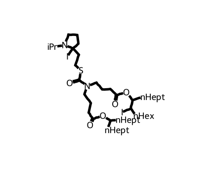 CCCCCCCC(CCCCCCC)OC(=O)CCCN(CCCC(=O)OC(CCCCCCC)C(I)CCCCCC)C(=O)SCCC1(I)CCCN1C(C)C